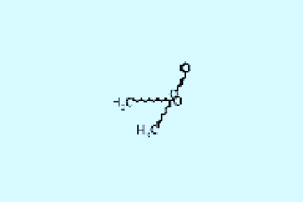 CCCCCCCCCCC(CCCCCCCC)C(=O)OCCCCCc1ccccc1